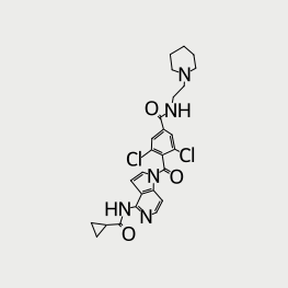 O=C(NCCN1CCCCC1)c1cc(Cl)c(C(=O)n2ccc3c(NC(=O)C4CC4)nccc32)c(Cl)c1